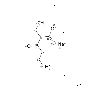 CCCC(=O)C(CC)C(=O)[O-].[Na+]